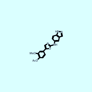 COc1cc(-c2cnc(Nc3ccc4[nH]ncc4c3)o2)ccc1OC(C)=O